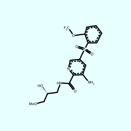 COC[C@H](O)CNC(=O)c1ncc(S(=O)(=O)c2ccccc2OC(F)(F)F)cc1N